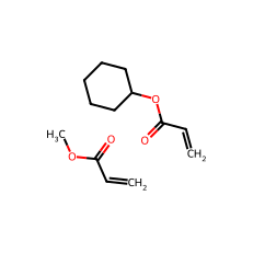 C=CC(=O)OC.C=CC(=O)OC1CCCCC1